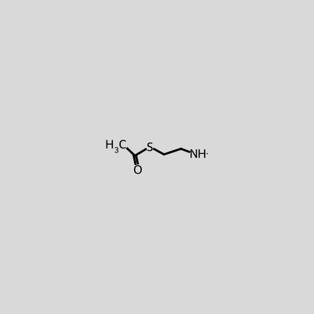 CC(=O)SCC[NH]